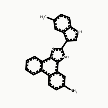 Cc1ccc2[nH]cc(-c3nc4c5ccccc5c5ccc(N)cc5c4[nH]3)c2c1